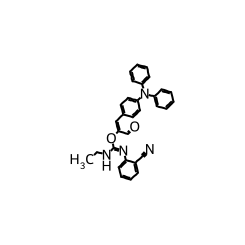 CCN/C(=N\c1ccccc1C#N)O/C(C=O)=C/c1ccc(N(c2ccccc2)c2ccccc2)cc1